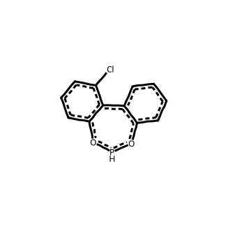 Clc1cccc2o[pH]oc3ccccc3c12